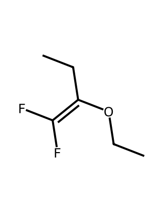 CCOC(CC)=C(F)F